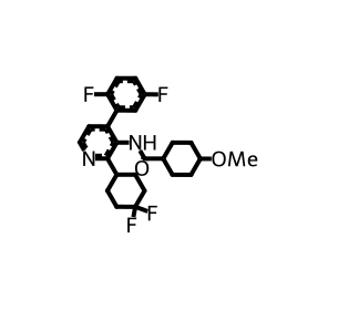 COC1CCC(C(=O)Nc2c(-c3cc(F)ccc3F)ccnc2C2CCC(F)(F)CC2)CC1